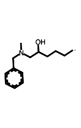 [CH2]CCCC(O)CN(C)Cc1ccccc1